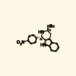 CCCC[C@H]1Cc2c([nH]c3ccccc23)[C@H](c2ccc([N+](=O)[O-])cc2)N1